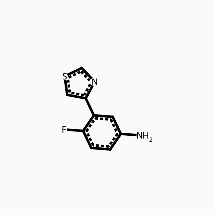 Nc1ccc(F)c(-c2cs[c]n2)c1